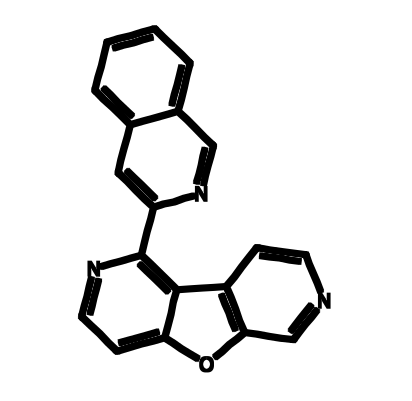 c1ccc2cc(-c3nccc4oc5cnccc5c34)ncc2c1